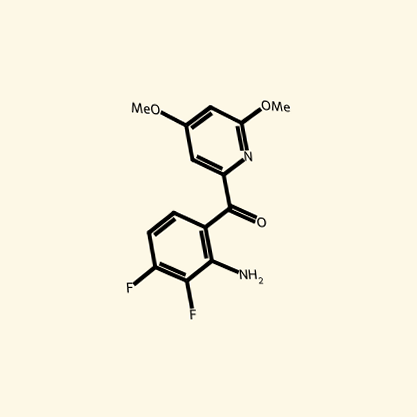 COc1cc(OC)nc(C(=O)c2ccc(F)c(F)c2N)c1